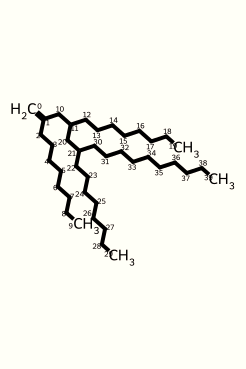 C=C(CCCCCCCC)CC(CCCCCCCC)CC(CCCCCCCC)CCCCCCCCCC